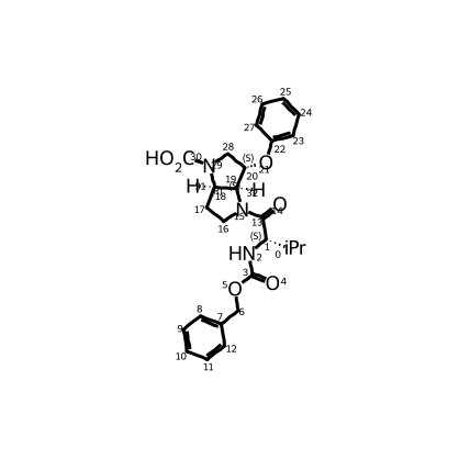 CC(C)[C@H](NC(=O)OCc1ccccc1)C(=O)N1CC[C@@H]2[C@H]1[C@@H](Oc1ccccc1)CN2C(=O)O